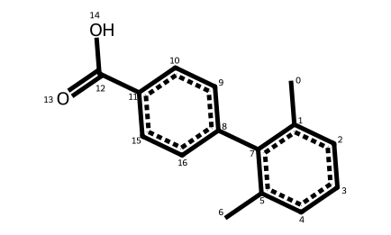 Cc1cccc(C)c1-c1ccc(C(=O)O)cc1